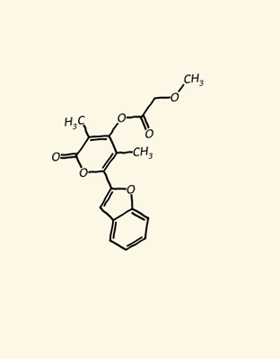 COCC(=O)Oc1c(C)c(-c2cc3ccccc3o2)oc(=O)c1C